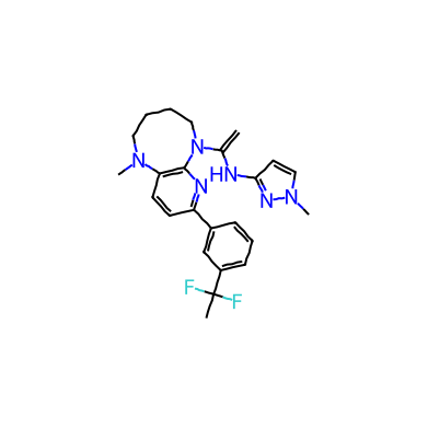 C=C(Nc1ccn(C)n1)N1CCCCN(C)c2ccc(-c3cccc(C(C)(F)F)c3)nc21